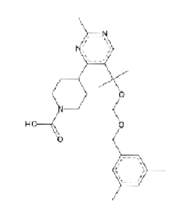 Cc1cc(C)cc(COCOC(C)(C)c2cnc(C)nc2C2CCN(C(=O)O)CC2)c1